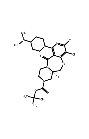 CN(C)C1CCN(c2nc(Cl)c(Cl)c3c2C(=O)N2CCN(C(=O)OC(C)(C)C)C[C@@H]2CO3)CC1